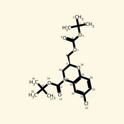 CC(C)(C)OC(=O)OC[C@@H]1CN(C(=O)OC(C)(C)C)c2cc(Cl)ccc2O1